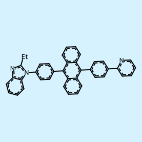 CCc1nc2ccccc2n1-c1ccc(-c2c3ccccc3c(-c3ccc(-c4ccccn4)cc3)c3ccccc23)cc1